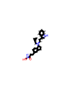 O=C(C=Cc1ccc2c(c1)CCC2N(CCc1c[nH]c2ccccc12)CC1CC1)NO